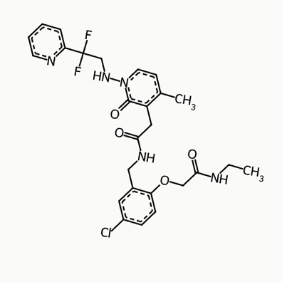 CCNC(=O)COc1ccc(Cl)cc1CNC(=O)Cc1c(C)ccn(NCC(F)(F)c2ccccn2)c1=O